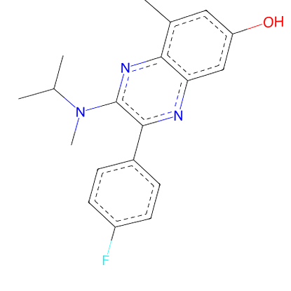 Cc1cc(O)cc2nc(-c3ccc(F)cc3)c(N(C)C(C)C)nc12